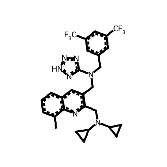 Cc1cccc2cc(CN(Cc3cc(C(F)(F)F)cc(C(F)(F)F)c3)c3nn[nH]n3)c(CN(C3CC3)C3CC3)nc12